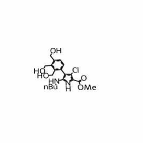 CCCCNc1[nH]c(C(=O)OC)c(Cl)c1-c1ccc(CO)c(CO)c1CO